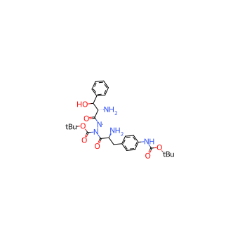 CC(C)(C)OC(=O)Nc1ccc(C[C@H](N)C(=O)N([N]C(=O)[C@@H](N)C(O)c2ccccc2)C(=O)OC(C)(C)C)cc1